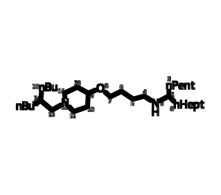 CCCCCCCC(CCCCC)NCCCCOC1CCN(CC(CCCC)CCCC)CC1